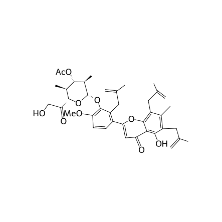 C=C(C)Cc1c(-c2cc(=O)c3c(O)c(CC(=C)C)c(C)c(CC(=C)C)c3o2)ccc(OC)c1O[C@@H]1O[C@H](C(=O)CO)[C@@H](C)[C@H](OC(C)=O)[C@H]1C